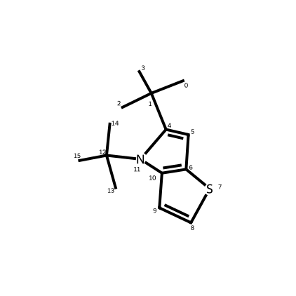 CC(C)(C)c1cc2sccc2n1C(C)(C)C